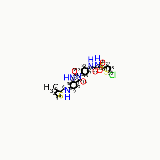 Cc1ccsc1CNc1ccc2c(=O)n(-c3ccc(NC(=O)NS(=O)(=O)c4ccc(Cl)s4)cc3)c(=O)[nH]c2c1